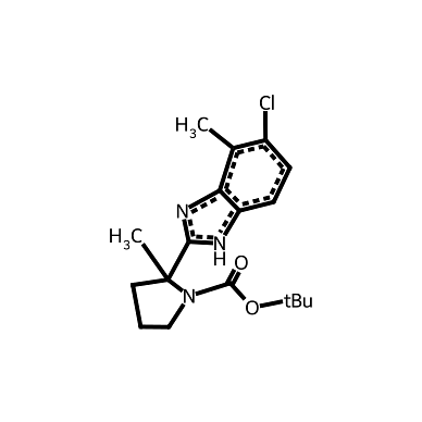 Cc1c(Cl)ccc2[nH]c(C3(C)CCCN3C(=O)OC(C)(C)C)nc12